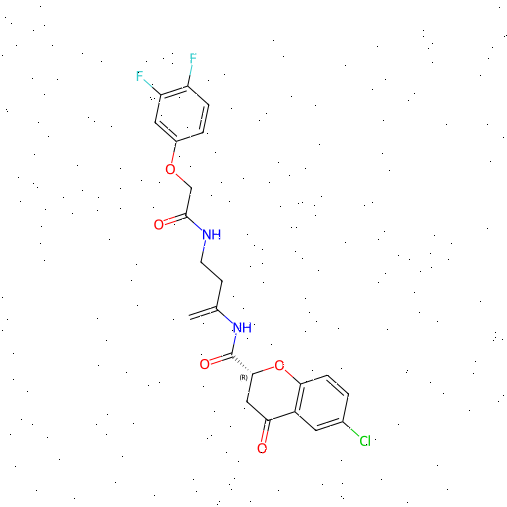 C=C(CCNC(=O)COc1ccc(F)c(F)c1)NC(=O)[C@H]1CC(=O)c2cc(Cl)ccc2O1